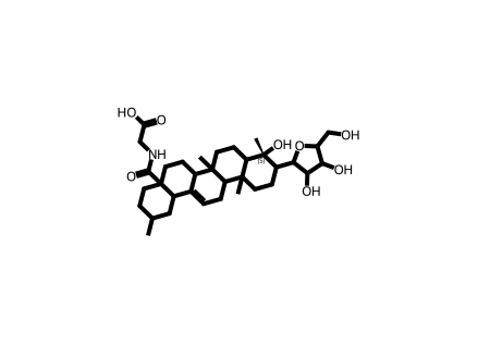 CC1CCC2(C(=O)NCC(=O)O)CCC3C(=CCC4C3(C)CCC3C4(C)CCC(C4OC(CO)C(O)C4O)[C@@]3(C)O)C2C1